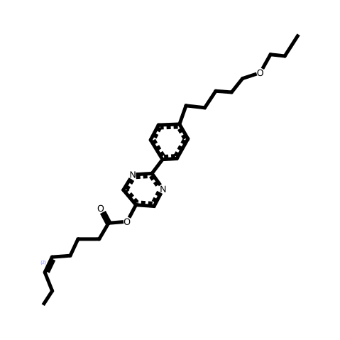 CC/C=C\CCCC(=O)Oc1cnc(-c2ccc(CCCCCOCCC)cc2)nc1